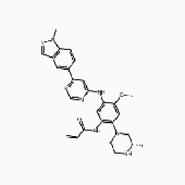 C=CC(=O)Nc1cc(Nc2cc(-c3ccc4c(cnn4C)c3)ncn2)c(OC)cc1N1CCN[C@@H](C)C1